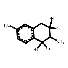 [2H]C1([2H])Cc2cc(C(F)(F)F)ccc2C([2H])([2H])C1C